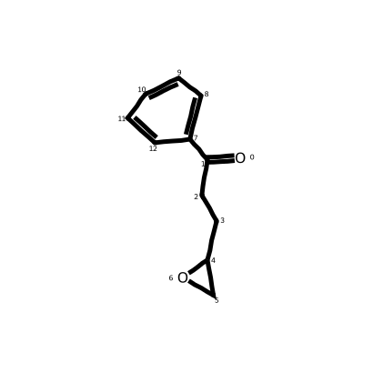 O=C([CH]CC1CO1)c1ccccc1